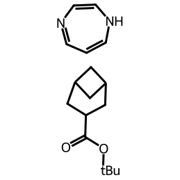 C1=CNC=CN=C1.CC(C)(C)OC(=O)C1CC2CC(C2)C1